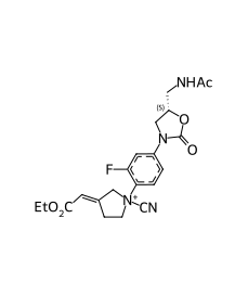 CCOC(=O)C=C1CC[N+](C#N)(c2ccc(N3C[C@H](CNC(C)=O)OC3=O)cc2F)C1